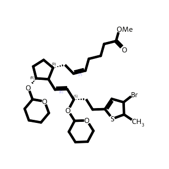 COC(=O)CCC/C=C\C[C@H]1CC[C@@H](OC2CCCCO2)C1/C=C/[C@H](CCC1=CC(Br)C(C)S1)OC1CCCCO1